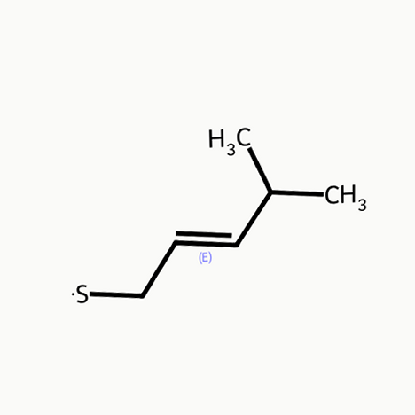 CC(C)/C=C/C[S]